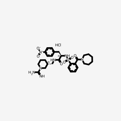 Cl.N=C(N)N1CCC[C@H](CNC(=O)[C@@H](Cc2ccc([N+](=O)[O-])cc2)NS(=O)(=O)c2ccccc2C(=O)N2CCCCCC2)C1